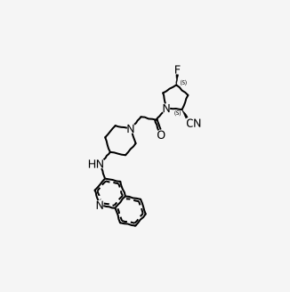 N#C[C@@H]1C[C@H](F)CN1C(=O)CN1CCC(Nc2cnc3ccccc3c2)CC1